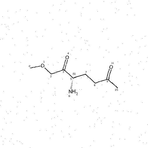 COCC(=O)[C@@H](N)CCC(C)=O